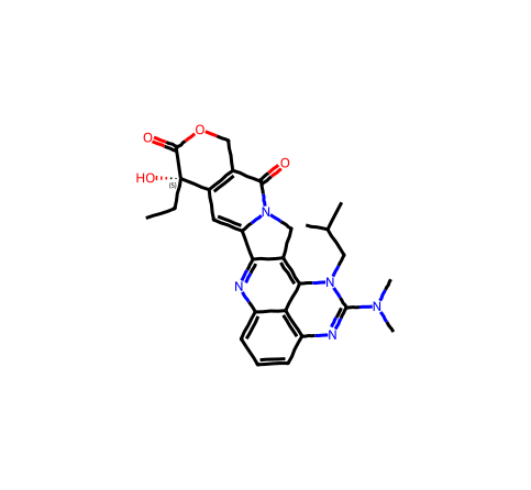 CC[C@@]1(O)C(=O)OCc2c1cc1n(c2=O)Cc2c-1nc1cccc3c1c2N(CC(C)C)C(N(C)C)=N3